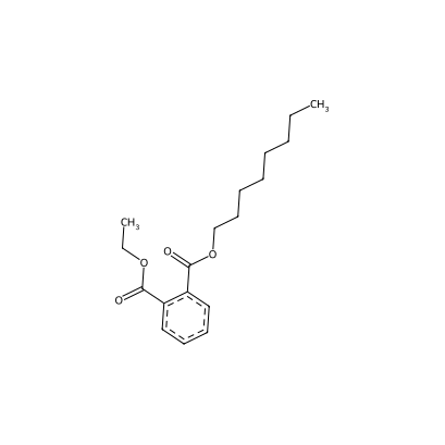 CCCCCCCCOC(=O)c1ccccc1C(=O)OCC